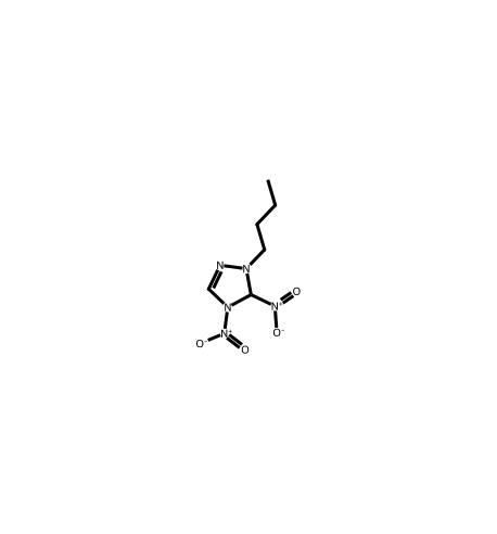 CCCCN1N=CN([N+](=O)[O-])C1[N+](=O)[O-]